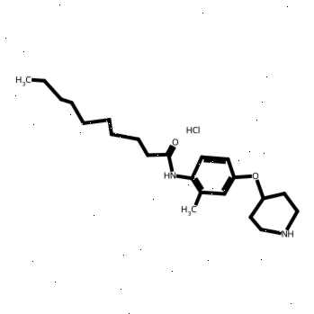 CCCCCCCCCC(=O)Nc1ccc(OC2CCNCC2)cc1C.Cl